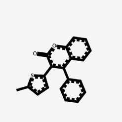 Cc1ccc(-c2c(-c3ccccc3)c3ccccc3oc2=O)s1